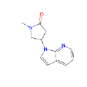 CN1CC(n2ccc3cccnc32)CC1=O